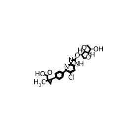 CC1(C(=O)O)CC1c1ccc(-c2nc3nc(O[C@@H]4CO[C@H]5[C@@H]4OC[C@H]5O)[nH]c3cc2Cl)cc1